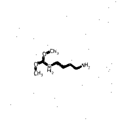 COC(OC)[SiH2]CCCCN